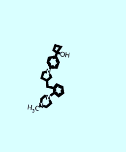 CN1CCN(c2ccccc2CC2CCN(c3ccc(C4(O)CCC4)cc3)C2)CC1